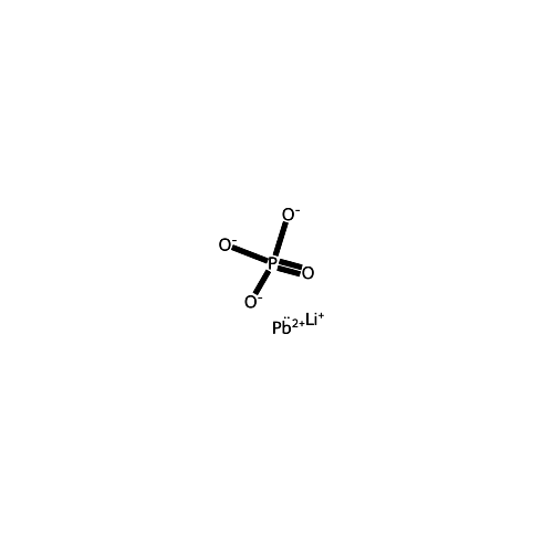 O=P([O-])([O-])[O-].[Li+].[Pb+2]